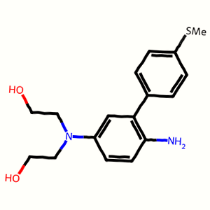 CSc1ccc(-c2cc(N(CCO)CCO)ccc2N)cc1